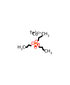 CCCCOP(=O)(OCCCC)OCCCC.[Cd+2].[Te-2]